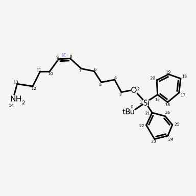 CC(C)(C)[Si](OCCCCC/C=C\CCCCN)(c1ccccc1)c1ccccc1